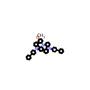 COc1ccc(N(c2cccc3c2c2ccccc2n3C2=CCC(c3ccccc3)C=C2)c2cccc3c2c2ccccc2n3-c2ccc(-c3ccccc3)cc2)cc1